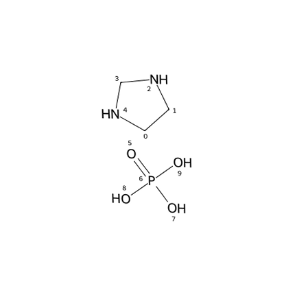 C1CNCN1.O=P(O)(O)O